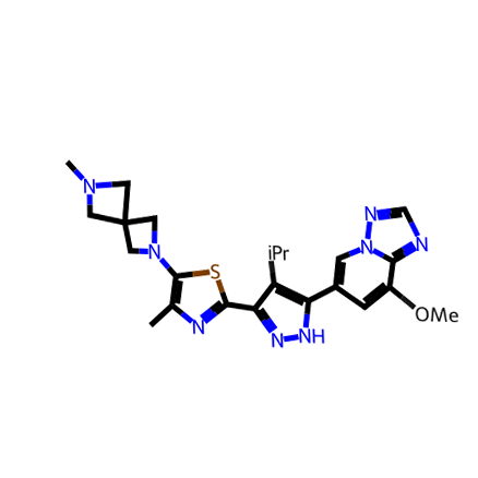 COc1cc(-c2[nH]nc(-c3nc(C)c(N4CC5(CN(C)C5)C4)s3)c2C(C)C)cn2ncnc12